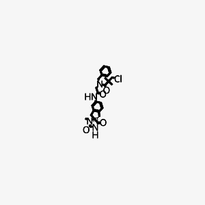 CN1C(=O)NC(=O)[C@@]12Cc1ccc(NC(=O)CN(Cc3ccccc3)C(=O)C(C)(C)CCl)cc1C2